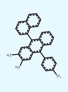 Cc1cc2c(-c3ccc(C(F)(F)F)cc3)c3ccccc3c(-c3cccc4ccccc34)c2cc1C